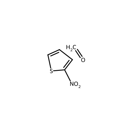 C=O.O=[N+]([O-])c1cccs1